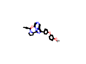 CC#CC(=O)N1CCCC1c1nc(-c2ccc(Oc3cccc(OC(C)C)c3)cc2)c2cnccn12